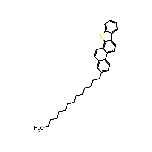 CCCCCCCCCCCCCCc1ccc2c(ccc3c2ccc2c4ccccc4sc23)c1